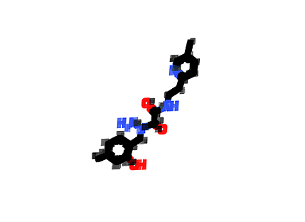 Cc1ccc(CCNC(=O)C(=O)N(N)Cc2ccc(C)cc2O)nc1